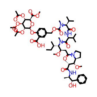 CCC(C)[C@@H]([C@@H](CC(=O)N1CCC[C@H]1[C@H](OC)[C@@H](C)C(=O)N[C@H](C)[C@@H](O)c1ccccc1)OC)N(C)C(=O)[C@@H](NC(=O)[C@H](C(C)C)N(C)C(=O)OCc1ccc(O[C@@H]2O[C@H](C(=O)OC)[C@@H](OC(C)=O)[C@H](OC(C)=O)[C@H]2OC(C)=O)c(C(=O)O)c1)C(C)C